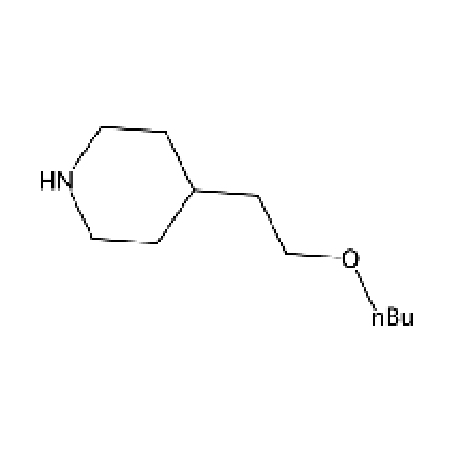 CCCCOCCC1CCNCC1